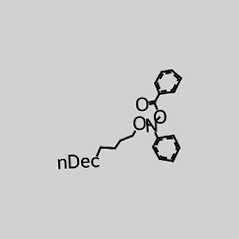 CCCCCCCCCCCCCCON(OC(=O)c1ccccc1)c1ccccc1